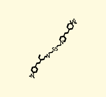 C=CC(/C=C/c1ccc(N(C)C)cc1)=C\C=N\CCSSCC[n+]1ccc(/C=C/C2=CCC(C)(N(C)C)C=C2)cc1